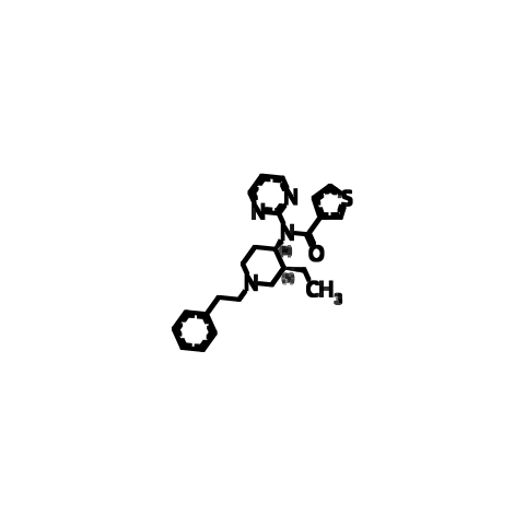 CC[C@H]1CN(CCc2ccccc2)CC[C@H]1N(C(=O)c1ccsc1)c1ncccn1